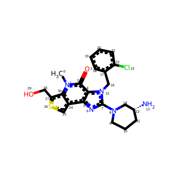 Cn1c(=O)c2c(nc(N3CCC[C@@H](N)C3)n2Cc2ccccc2Cl)c2csc(CO)c21